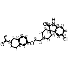 CC(=O)N1CCc2cc(OCCN3CCC4(CC3)C(=O)Nc3ccc(Cl)cc34)ccc2C1